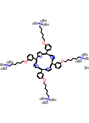 CCCC[N+](CCCC)(CCCC)CCCCCCOc1cccc(-c2c3nc(c(-c4cccc(OCCCCCC[N+](CCCC)(CCCC)CCCC)c4)c4ccc([nH]4)c(-c4cccc(OCCCCCC[N+](CCCC)(CCCC)CCCC)c4)c4nc(c(-c5cccc(OCCCCCC[N+](CCCC)(CCCC)CCCC)c5)c5ccc2[nH]5)C=C4)C=C3)c1.[Zn+2]